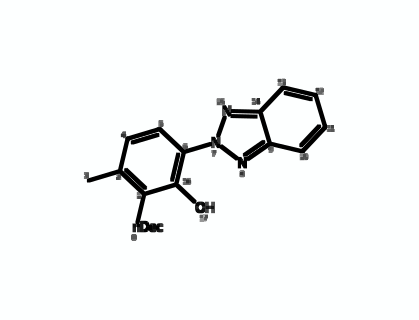 CCCCCCCCCCc1c(C)ccc(-n2nc3ccccc3n2)c1O